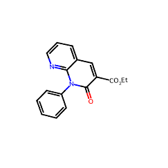 CCOC(=O)c1cc2cccnc2n(-c2ccccc2)c1=O